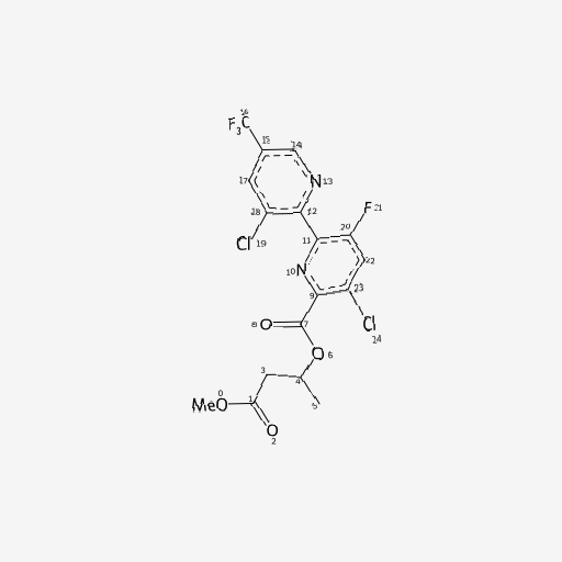 COC(=O)CC(C)OC(=O)c1nc(-c2ncc(C(F)(F)F)cc2Cl)c(F)cc1Cl